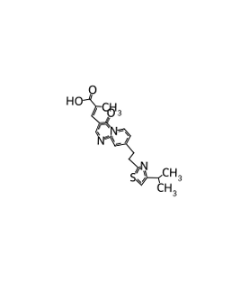 CC(=Cc1cnc2cc(CCc3nc(C(C)C)cs3)ccn2c1=O)C(=O)O